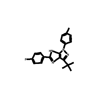 Cc1ccc(-n2nc(C(C)(C)C)c3nc(-c4ccc(F)cc4)[nH]c32)cc1